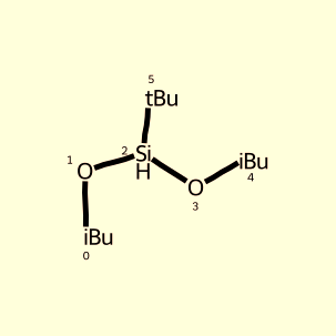 CCC(C)O[SiH](OC(C)CC)C(C)(C)C